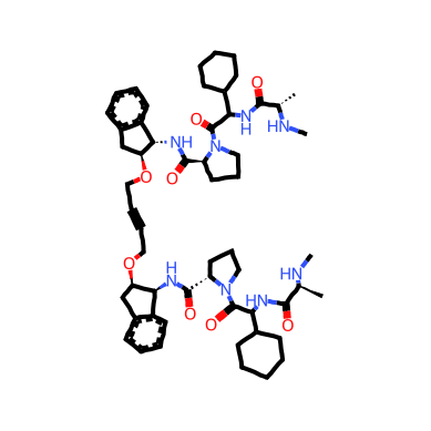 CN[C@@H](C)C(=O)NC(C(=O)N1CCC[C@H]1C(=O)N[C@H]1c2ccccc2C[C@@H]1OCC#CCO[C@@H]1Cc2ccccc2[C@@H]1NC(=O)[C@@H]1CCCN1C(=O)C(NC(=O)[C@H](C)NC)C1CCCCC1)C1CCCCC1